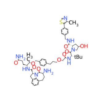 Cc1ncsc1-c1ccc(CNC(=O)[C@@H]2C[C@@H](O)CN2C(=O)[C@@H](NC(=O)COCCCc2ccc(CO[C@H](C)[C@H](CCC(N)=O)NC(=O)[C@@H]3Cc4cccc5c4N3C(=O)[C@@H](N)CC5)cc2)C(C)(C)C)cc1